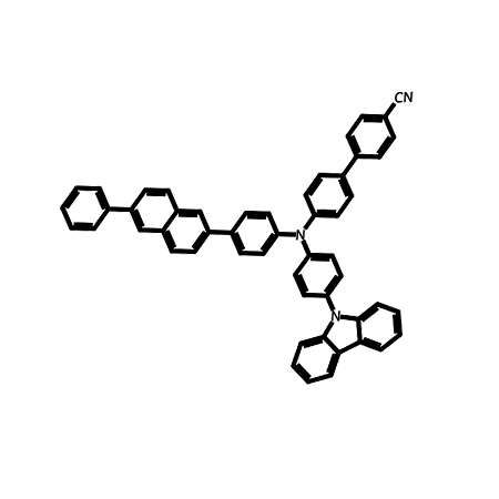 N#Cc1ccc(-c2ccc(N(c3ccc(-c4ccc5cc(-c6ccccc6)ccc5c4)cc3)c3ccc(-n4c5ccccc5c5ccccc54)cc3)cc2)cc1